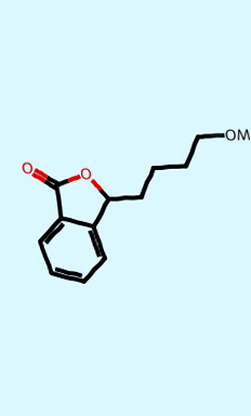 COCCCCC1OC(=O)c2ccccc21